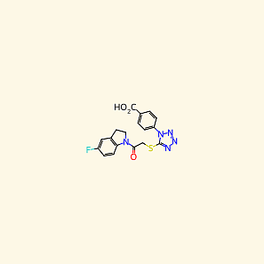 O=C(O)c1ccc(-n2nnnc2SCC(=O)N2CCc3cc(F)ccc32)cc1